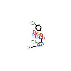 O=C(NS(=O)(=O)c1cccc(Cl)c1)c1ncn(CCCCl)c1Cl